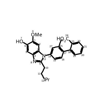 COc1cc2c(cc1O)nc(CCC(C)C)n2-c1ccc(-c2ccccc2C(=O)O)c(C)c1